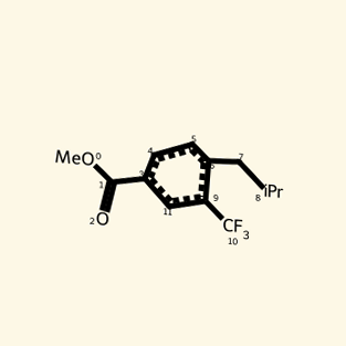 COC(=O)c1ccc(CC(C)C)c(C(F)(F)F)c1